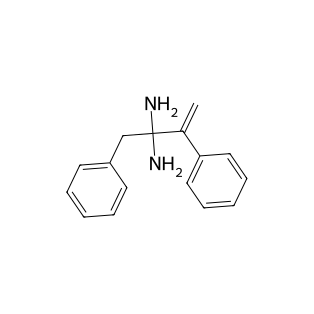 C=C(c1ccccc1)C(N)(N)Cc1ccccc1